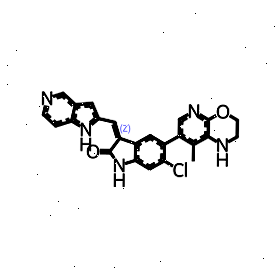 Cc1c(-c2cc3c(cc2Cl)NC(=O)/C3=C\c2cc3cnccc3[nH]2)cnc2c1NCCO2